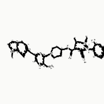 Cc1c(C(=O)NC2CCN(c3nc(-c4ccc5ccn(C)c5c4)cnc3N)CC2)c(=O)n(-c2ccccc2Cl)n1C